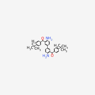 CC(C)(C)c1ccc(C(=O)c2cc(-c3ccc(N)c(C(=O)c4ccc(C(C)(C)C)cc4)c3)ccc2N)cc1